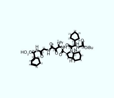 CCCC(NC(=O)[C@@H]1C[C@@H]2CCCC[C@@H]2N1C(=O)C(NC(=O)OCC(C)C)C1CCCCC1)C(=O)C(=O)NCC(=O)NC(C(=O)O)C1=CC=CCC1